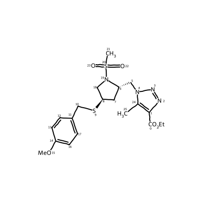 CCOC(=O)c1nnn(C[C@@H]2C[C@@H](SCc3ccc(OC)cc3)CN2S(C)(=O)=O)c1C